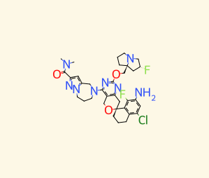 CN(C)C(=O)c1cc2n(n1)CCCN(c1nc(OC[C@@]34CCCN3C[C@H](F)C4)nc3c1CO[C@]1(CCCc4c(Cl)cc(N)c(F)c41)C3)C2